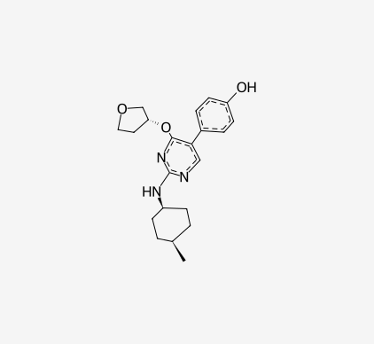 C[C@H]1CC[C@@H](Nc2ncc(-c3ccc(O)cc3)c(O[C@@H]3CCOC3)n2)CC1